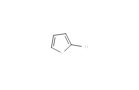 PC1=CC=CB1